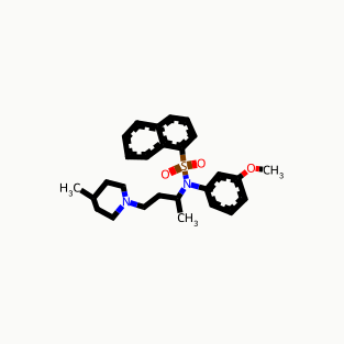 COc1cccc(N(C(C)CCN2CCC(C)CC2)S(=O)(=O)c2cccc3ccccc23)c1